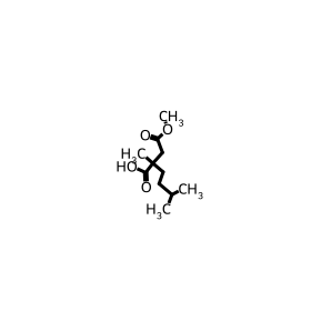 COC(=O)CC(C)(CCC(C)C)C(=O)O